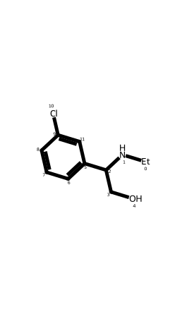 CCNC(CO)c1cccc(Cl)c1